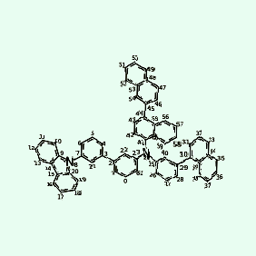 c1cc(-c2cccc(-n3c4ccccc4c4ccccc43)c2)cc(N(c2cccc(-c3cccc4ccccc34)c2)c2ccc(-c3ccc4ccccc4c3)c3ccccc23)c1